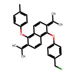 Cc1ccc(Oc2c(=C(C#N)C#N)ccc3c(Oc4ccc(CF)cc4)c(=C(C#N)C#N)ccc23)cc1